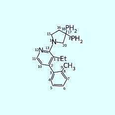 CCc1c(-c2ccccc2C)ccnc1N1CCC(P)(P)C1